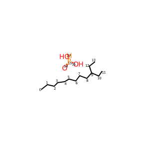 CCCCCCCCCC(CC)CC.O=[PH](O)O